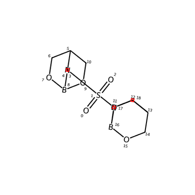 O=S(=O)(N1CC2COB1OC2)N1CC2COB1OC2